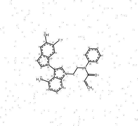 C=CC(=O)N(CCn1cc(-n2ccc3cc(O)c(F)cc32)c2c(N)ncnc21)c1ccccc1